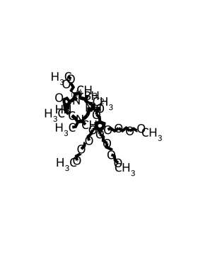 Bc1c2nc(c3c4[nH]c(cc5nc(cc6[nH]c1c(C)c6C(=O)OCc1cc(OCCOCCOCCOC)c(OCCOCCOCCOC)c(OCCOCCOCCOC)c1)C(C)=C5CC)c(C)c4C(=O)C3)[C@@H](CCC(=O)OC)[C@@H]2C